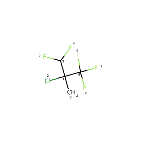 CC(Cl)(C(F)F)C(F)(F)F